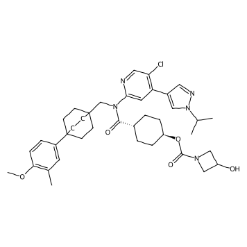 COc1ccc(C23CCC(CN(c4cc(-c5cnn(C(C)C)c5)c(Cl)cn4)C(=O)[C@H]4CC[C@H](OC(=O)N5CC(O)C5)CC4)(CC2)CC3)cc1C